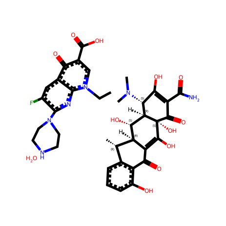 CCn1cc(C(=O)O)c(=O)c2cc(F)c(N3CCNCC3)nc21.C[C@H]1c2cccc(O)c2C(=O)C2=C(O)[C@]3(O)C(=O)C(C(N)=O)=C(O)[C@@H](N(C)C)[C@@H]3[C@@H](O)[C@@H]21.O